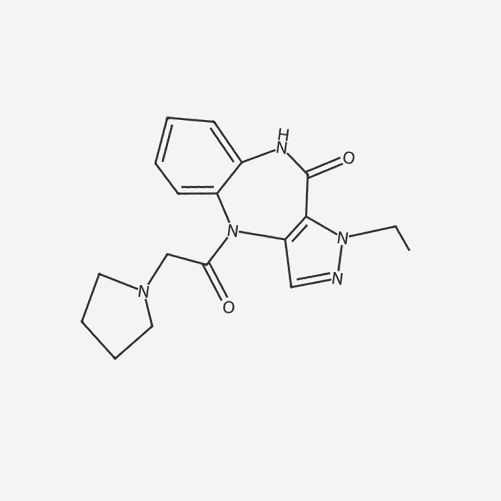 CCn1ncc2c1C(=O)Nc1ccccc1N2C(=O)CN1CCCC1